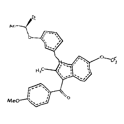 CC[C@@H](Oc1cccc(-n2c(C)c(C(=O)c3ccc(OC)cc3)c3ccc(OC(F)(F)F)cc32)c1)C(C)=O